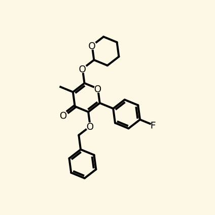 Cc1c(OC2CCCCO2)oc(-c2ccc(F)cc2)c(OCc2ccccc2)c1=O